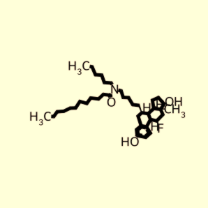 CCCCCCCCCCCC(=O)N(CCCCCC)CCCCC[C@@H]1Cc2cc(O)ccc2[C@@H]2[C@@H]1[C@@H]1CC[C@H](O)[C@@]1(C)C[C@@H]2F